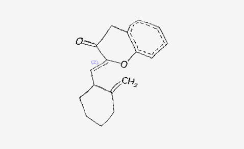 C=C1CCCCC1/C=C1\Oc2ccccc2CC1=O